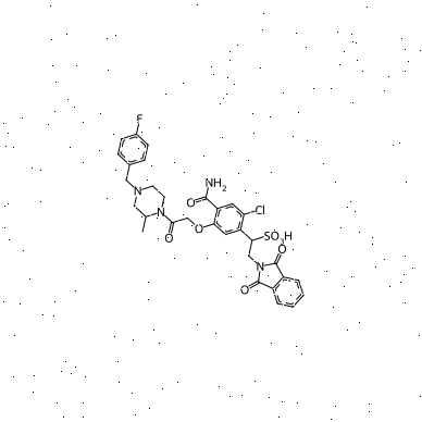 CC1CN(Cc2ccc(F)cc2)CCN1C(=O)COc1cc(C(CN2C(=O)c3ccccc3C2=O)S(=O)(=O)O)c(Cl)cc1C(N)=O